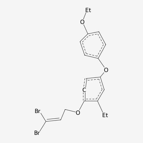 CCOc1ccc(Oc2ccc(OCC=C(Br)Br)c(CC)c2)cc1